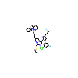 C=CN(CCCCC1CC2=C(C3=NC(CCC(C)F)C=C3)[C@H](c3ccc(F)cc3Cl)N=C(CS/C=C\C)N2C1)C1C2CCC1C(C)(C1=CC=CCN1)C2